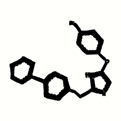 Brc1ccc(Oc2cnc(Cc3ccc(-c4ccccc4)cc3)[nH]2)cc1